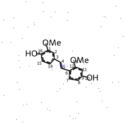 COc1cc(/C=C/c2ccc(O)cc2OC)ccc1O